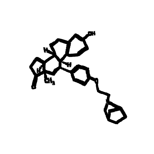 C[C@]12C[C@H](c3ccc(OCCN4CC5CCC4C5)cc3)[C@@H]3c4ccc(O)cc4CC[C@H]3[C@@H]1CCC2=O